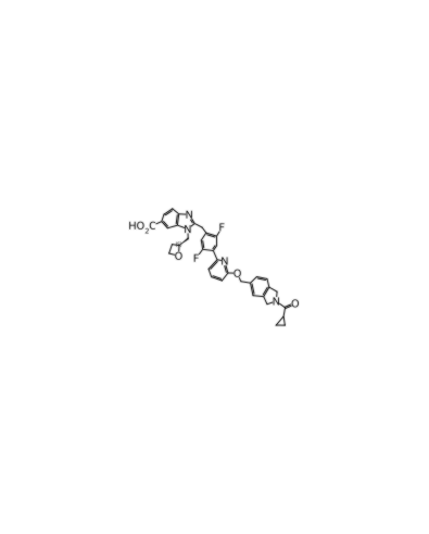 O=C(O)c1ccc2nc(Cc3cc(F)c(-c4cccc(OCc5ccc6c(c5)CN(C(=O)C5CC5)C6)n4)cc3F)n(C[C@@H]3CCO3)c2c1